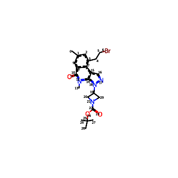 Cc1cc(CCBr)c2c(c1)c(=O)n(C)c1c2cnn1C1CN(C(=O)OC(C)(C)C)C1